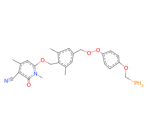 Cc1cc(COOc2ccc(OCP)cc2)cc(C)c1COc1cc(C)c(C#N)c(=O)n1C